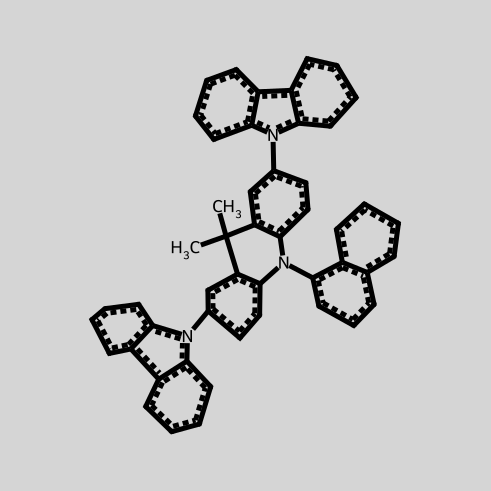 CC1(C)c2cc(-n3c4ccccc4c4ccccc43)ccc2N(c2cccc3ccccc23)c2ccc(-n3c4ccccc4c4ccccc43)cc21